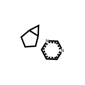 C1CC2CC2C1.c1cncnc1